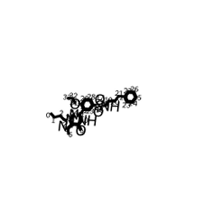 CCCc1nc(C)c2c(=O)[nH]c(-c3cc(S(=O)(=O)NCCCc4ccccc4)ccc3OCC)nn12